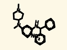 CN1CCC(N(C)c2ccc([N+](=O)[O-])c(NC(c3ccccc3)c3ccccc3)c2)CC1